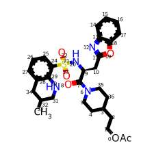 CC(=O)OCCC1CCN(C(=O)[C@H](Cc2nc3ccccc3o2)NS(=O)(=O)c2cccc3c2NCC(C)C3)CC1